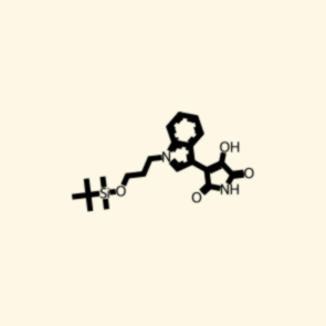 CC(C)(C)[Si](C)(C)OCCCn1cc(C2=C(O)C(=O)NC2=O)c2ccccc21